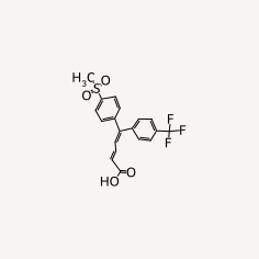 CS(=O)(=O)c1ccc(/C(=C/C=C/C(=O)O)c2ccc(C(F)(F)F)cc2)cc1